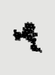 C#Cc1c(F)ccc2cccc(-c3ncc4c(N5CCN(C(=O)/C=C/c6ccnc(C)n6)[C@@H](CC#N)C5)nc(OC[C@@]56CCCN5C[C@H](F)C6)nc4c3F)c12